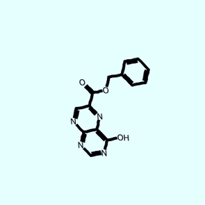 O=C(OCc1ccccc1)c1cnc2ncnc(O)c2n1